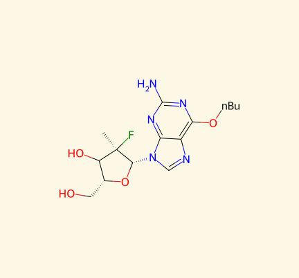 CCCCOc1nc(N)nc2c1ncn2[C@@H]1O[C@H](CO)C(O)[C@@]1(C)F